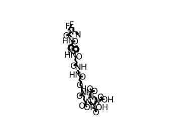 N#C[C@@H]1CC(F)(F)CN1C(=O)CNC(=O)c1ccnc2c(NC(=O)CCC(=O)NCCNC(=O)CCOCCNC(=O)CCC(C(=O)O)N3CN(CC(=O)O)CCN(CC(=O)O)CN(CC(=O)O)C3)cccc12